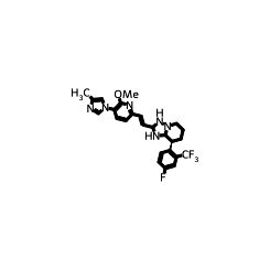 COc1nc(/C=C/C2NC3[C@H](c4ccc(F)cc4C(F)(F)F)CCCN3N2)ccc1-n1cnc(C)c1